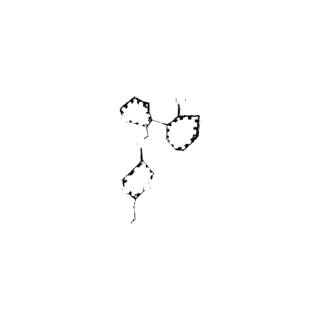 CCc1ccccc1-c1cccnc1COc1cnc(CF)nc1